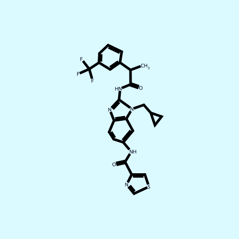 CC(C(=O)Nc1nc2ccc(NC(=O)c3cscn3)cc2n1CC1CC1)c1cccc(C(F)(F)F)c1